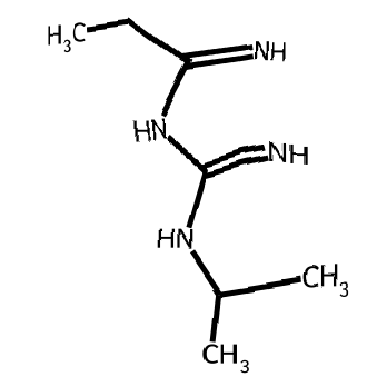 CCC(=N)NC(=N)NC(C)C